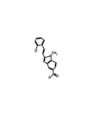 Cn1c(C=Cc2ccccc2Cl)cc2cc([N+](=O)[O-])ccc21